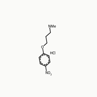 CNCCCOc1ccc([N+](=O)[O-])cc1.Cl